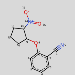 N#Cc1ccccc1OC1CCCC1[N+](=O)[O-]